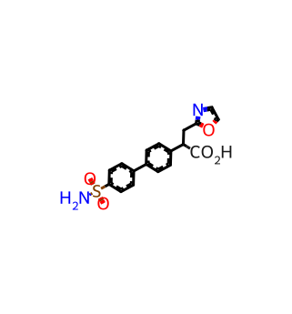 NS(=O)(=O)c1ccc(-c2ccc(C(Cc3ncco3)C(=O)O)cc2)cc1